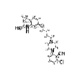 N#Cc1c(Cl)cccc1N1CCN(CCCCOc2ccc3c(c2)NC(O)C2CC32)CC1